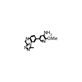 COc1ncc(-c2ccc3ncc4nnc(C)n4c3c2)cc1N